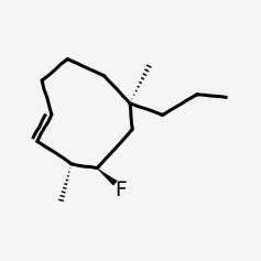 CCC[C@]1(C)CCC/C=C/[C@@H](C)[C@H](F)C1